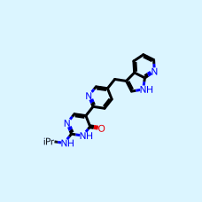 CC(C)Nc1ncc(-c2ccc(Cc3c[nH]c4ncccc34)cn2)c(=O)[nH]1